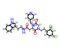 O=C(CC1C(=O)N(CCc2ccc(Cl)cc2Cl)CC(=O)N1Cc1ccncc1)NCCc1c[nH]c2ccccc12